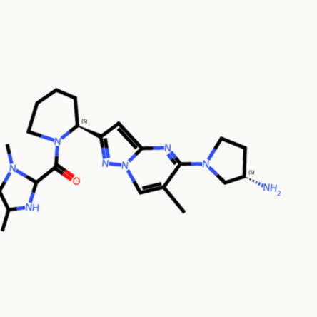 Cc1cn2nc([C@@H]3CCCCN3C(=O)C3NC(C)CN3C)cc2nc1N1CC[C@H](N)C1